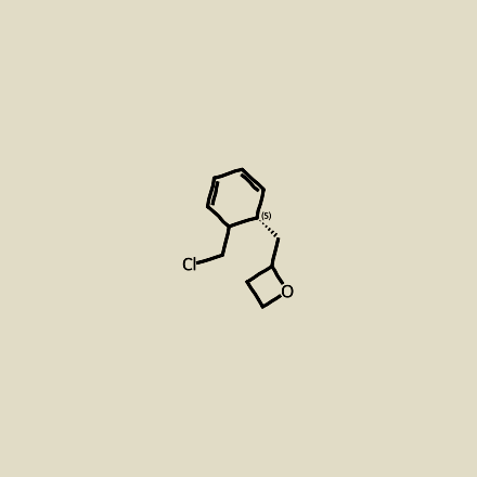 ClCC1C=CC=C[C@@H]1CC1CCO1